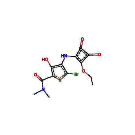 CCOc1c(Nc2c(Br)sc(C(=O)N(C)C)c2O)c(=O)c1=O